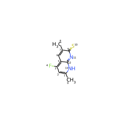 Cc1cc(F)c2cc(C)c(=S)nc-2[nH]1